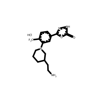 Cl.NCCC1CCCN(c2cc(-c3n[nH]c(=O)o3)ccc2C(F)(F)F)C1